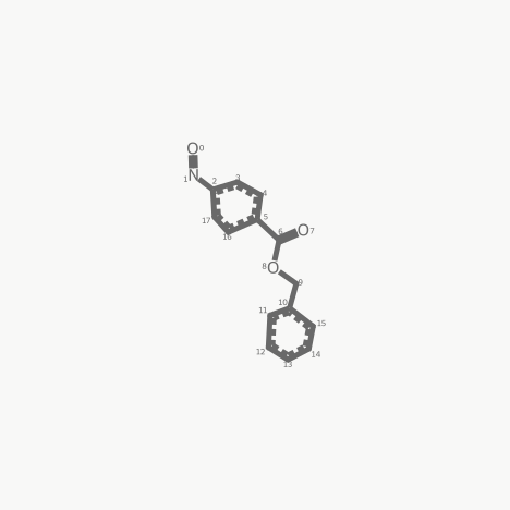 O=Nc1ccc(C(=O)OCc2ccccc2)cc1